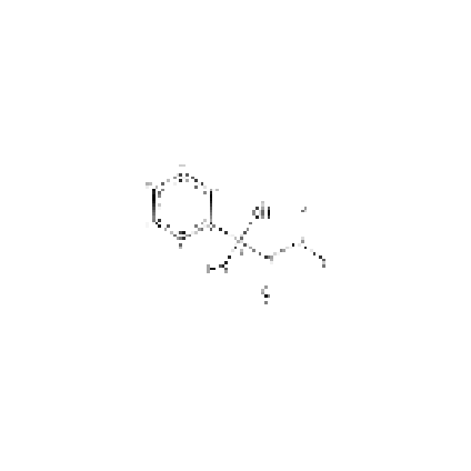 CC(C)C(O)C(O)(O)c1ccccc1